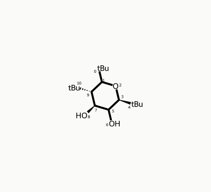 CC(C)(C)C1O[C@@H](C(C)(C)C)C(O)[C@@H](O)[C@@H]1C(C)(C)C